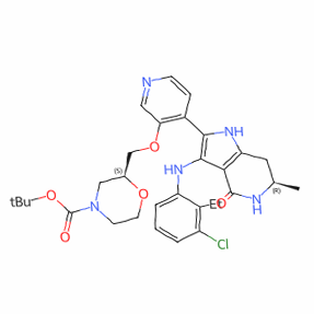 CCc1c(Cl)cccc1Nc1c(-c2ccncc2OC[C@@H]2CN(C(=O)OC(C)(C)C)CCO2)[nH]c2c1C(=O)N[C@H](C)C2